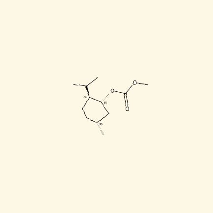 COC(=O)O[C@@H]1C[C@H](C)CC[C@H]1C(C)C